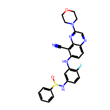 N#Cc1c(Nc2cc(N[S+]([O-])c3ccccc3)ccc2F)ccc2ncc(N3CCOCC3)nc12